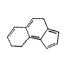 [C]1C=C2C=CCCC2=C2C=CC=C12